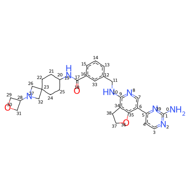 Nc1nccc(-c2cnc(NCc3cccc(C(=O)NC4CCC5(CC4)CN(C4COC4)C5)c3)c3c2OCC3)n1